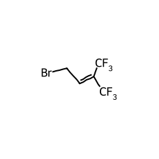 FC(F)(F)C(=CCBr)C(F)(F)F